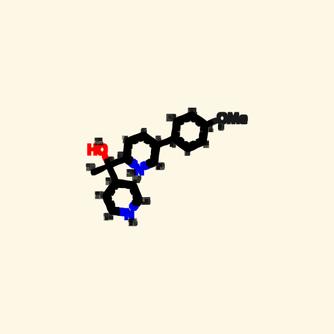 COc1ccc(-c2ccc([C@@](C)(O)c3ccncc3)nc2)cc1